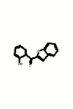 O=C(c1cc2ccccc2o1)c1ccccc1O